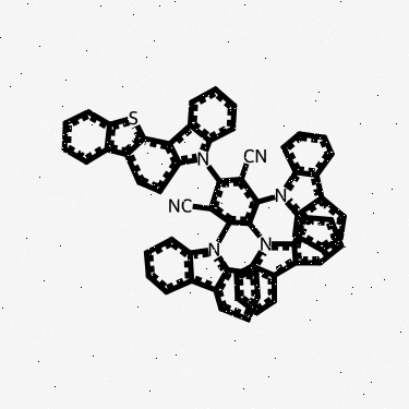 N#Cc1c(-n2c3ccccc3c3ccccc32)c(-n2c3ccccc3c3ccccc32)c(-n2c3ccccc3c3ccccc32)c(C#N)c1-n1c2ccccc2c2c3sc4ccccc4c3ccc21